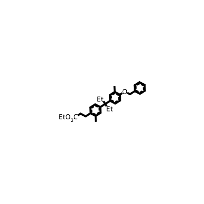 CCOC(=O)CCc1ccc(C(CC)(CC)c2ccc(OCc3ccccc3)c(C)c2)cc1C